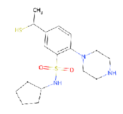 CC(S)c1ccc(N2CCNCC2)c(S(=O)(=O)NC2CCCC2)c1